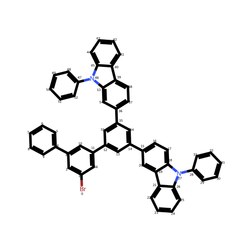 Brc1cc(-c2ccccc2)cc(-c2cc(-c3ccc4c(c3)c3ccccc3n4-c3ccccc3)cc(-c3ccc4c5ccccc5n(-c5ccccc5)c4c3)c2)c1